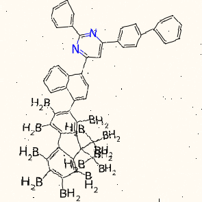 Bc1c(B)c(B)c2c(c1B)-c1c(B)c(B)c(-c3ccc(-c4cc(-c5ccc(-c6ccccc6)cc5)nc(-c5ccccc5)n4)c4ccccc34)c(B)c1C2(C(B)(B)B)C(B)(B)B